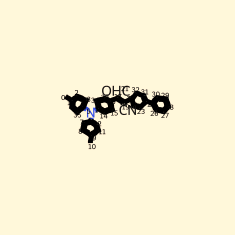 Cc1ccc(N(c2ccc(C)cc2)c2ccc(/C=C(\C#N)C3(C=O)C=CC(c4ccccc4)=CC3)cc2)cc1